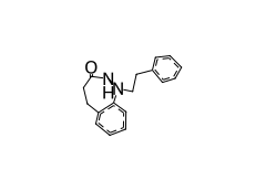 O=C1CCc2ccccc2N(CCc2ccccc2)N1